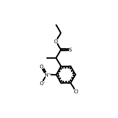 CCOC(=S)C(C)c1ccc(Cl)cc1[N+](=O)[O-]